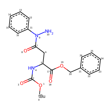 CC(C)(C)OC(=O)NC(CC(=O)N(N)c1ccccc1)C(=O)OCc1ccccc1